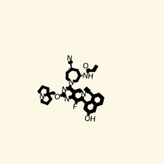 C#Cc1cccc2cc(O)cc(-c3ncc4c(N5CC[C@@H](C#N)C[C@H](NC(=O)C=C)C5)nc(OCC56CCCN5CCC6)nc4c3F)c12